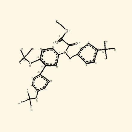 COC(=O)C(=O)N(Cc1ccc(C(C)(C)C)cc1)c1ccc(OC(C)(C)C)c(-c2ccc(OC(F)(F)F)cc2)c1